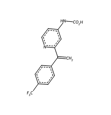 C=C(c1ccc(C(F)(F)F)cc1)c1cc(NC(=O)O)ccn1